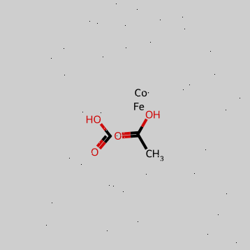 CC(=O)O.O=CO.[Co].[Fe]